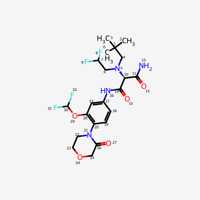 CC(C)(C)CN(CC(F)F)[C@@H](C(N)=O)C(=O)Nc1ccc(N2CCOCC2=O)c(OC(F)F)c1